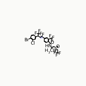 C[C@H](CS(=O)(=O)CC(F)(F)F)NC(=O)c1ccc(/C(F)=C/C(c2ccc(Br)c(Cl)c2)C(F)(F)F)cc1C(F)(F)F